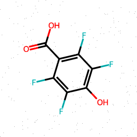 O=C(O)c1c(F)c(F)c(O)c(F)c1F